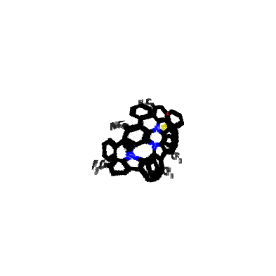 N#Cc1c(-c2ccccc2)c(-n2c3cc(C(F)(F)F)ccc3c3ccc(C(F)(F)F)cc32)c(-n2c3ccccc3c3ccc4c5ccccc5sc4c32)c(-n2c3cc(C(F)(F)F)ccc3c3ccc(C(F)(F)F)cc32)c1-c1ccccc1